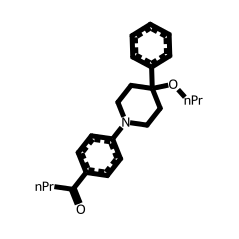 CCCOC1(c2ccccc2)CCN(c2ccc(C(=O)CCC)cc2)CC1